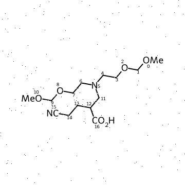 COCOCCN(CCOCOC)CC(CCC#N)C(=O)O